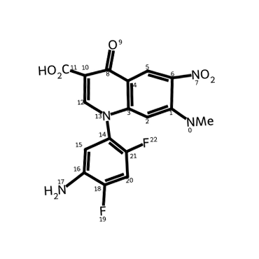 CNc1cc2c(cc1[N+](=O)[O-])c(=O)c(C(=O)O)cn2-c1cc(N)c(F)cc1F